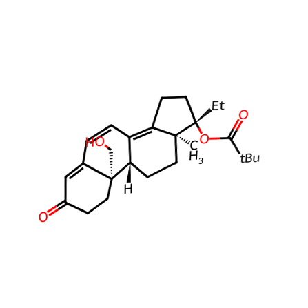 CC[C@]1(OC(=O)C(C)(C)C)CCC2=C3C=CC4=CC(=O)CC[C@]4(CO)[C@H]3CC[C@@]21C